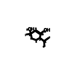 CC(C)C1CCC(C)(O)C=C1O